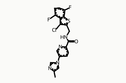 Cc1cn(-c2ccc(C(=O)NCc3sc4c(F)ccc(F)c4c3Cl)nc2)cn1